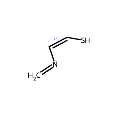 C=N/C=C\S